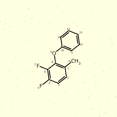 Cc1ccc(F)c(F)c1Oc1ccccc1